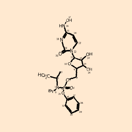 CC(C)N(C(C)C(=O)O)P(=O)(OCC1OC(n2ccc(NO)nc2=O)C(O)C1O)Oc1ccccc1